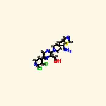 Cc1nc(N2CCC(CN)(Cc3cncs3)CC2)c(CO)nc1-c1ccnc(Cl)c1Cl